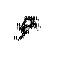 CCC(C)C1NC(=O)C(Cc2ccc(O)c(NNC(=O)Nc3ccc(OCC(C)=O)cc3)c2)NC(=O)C(N)CSSCC(C(=O)O)NC(=O)C(CC(N)=O)NC(=O)C(CCC(N)=O)NC1=O